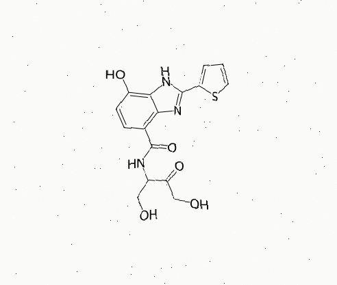 O=C(NC(CO)C(=O)CO)c1ccc(O)c2[nH]c(-c3cccs3)nc12